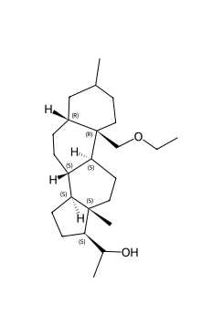 CCOC[C@]12CCC(C)C[C@H]1CC[C@H]1[C@@H]3CC[C@H](C(C)O)[C@@]3(C)CC[C@@H]12